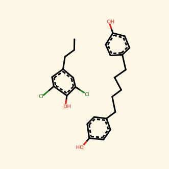 CCCc1cc(Cl)c(O)c(Cl)c1.Oc1ccc(CCCCCc2ccc(O)cc2)cc1